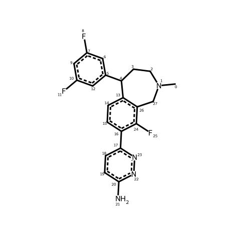 CN1CCC(c2cc(F)cc(F)c2)c2ccc(-c3ccc(N)nn3)c(F)c2C1